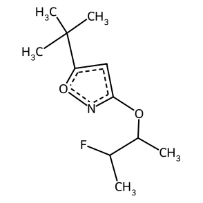 CC(F)C(C)Oc1cc(C(C)(C)C)on1